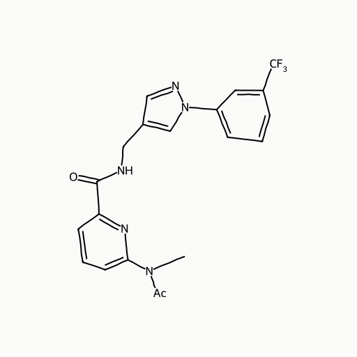 CC(=O)N(C)c1cccc(C(=O)NCc2cnn(-c3cccc(C(F)(F)F)c3)c2)n1